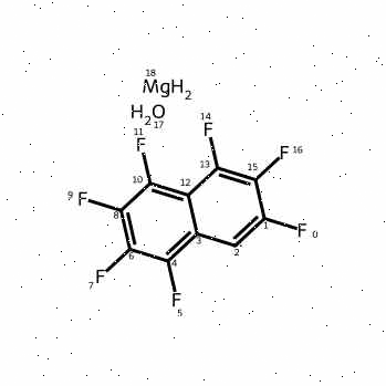 Fc1[c]c2c(F)c(F)c(F)c(F)c2c(F)c1F.O.[MgH2]